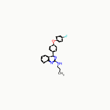 CCCNc1nc(-c2ccc(Oc3ccc(F)cc3)cc2)c2ccccc2n1